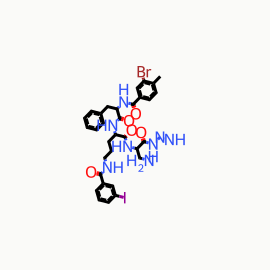 Cc1ccc(C(=O)NC(Cc2ccccc2)C(=O)NC(CCCNC(=O)c2cccc(I)c2)C(=O)NC(CN)C(=O)NN=N)cc1Br